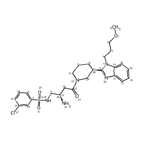 COCCCn1c([C@@H]2CCCN(C(=O)C[C@@H](N)CNS(=O)(=O)c3cccc(Cl)c3)C2)nc2ccccc21